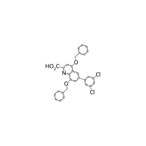 O=C(O)c1cc(OCc2ccccc2)c2cc(-c3cc(Cl)cc(Cl)c3)cc(OCc3ccccc3)c2n1